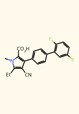 CCc1c(C#N)c(-c2ccc(-c3cc(F)ccc3F)cc2)c(C(=O)O)n1C